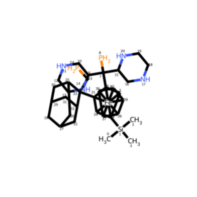 C[Si](C)(C)[C]12[CH]3[C]4(C(P)(C5CNCCN5)C5CNCCN5)[C]5(C6(CP)C7CC8CC(C7)CC6C8)[CH]1[Fe]34521678[CH]2[CH]1[CH]6[CH]7[CH]28